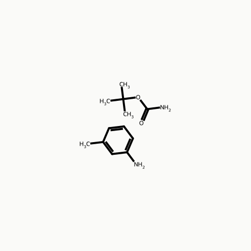 CC(C)(C)OC(N)=O.Cc1cccc(N)c1